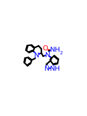 NC(=O)N(CC1CCc2ccccc2N1Cc1ccccc1)c1cccc2[nH]ncc12